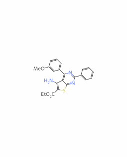 CCOC(=O)c1sc2nc(-c3ccccc3)nc(-c3cccc(OC)c3)c2c1N